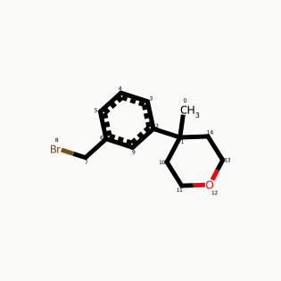 CC1(c2cccc(CBr)c2)CCOCC1